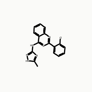 Cc1nc(Nc2nc(-c3ccccc3Cl)nc3ccccc23)n[nH]1